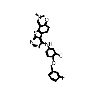 CN(C)C=C1C(=O)CCc2c1sc1ncnc(Nc3ccc(OCc4cccc(F)c4)c(Cl)c3)c21